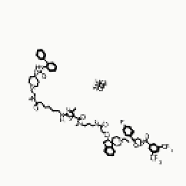 Cc1nc(NCCCCCC(=O)N(C)CCN2CCC(OC(=O)Nc3ccccc3-c3ccccc3)CC2)sc1C(=O)N(C)CCCN(C)C(=O)CO[C@H]1Cc2ccccc2C12CCN(CC[C@]1(c3ccc(F)cc3)CN(C(=O)c3cc(C(F)(F)F)cc(C(F)(F)F)c3)CO1)CC2.Cl.Cl.Cl